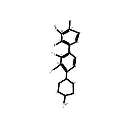 CCCC1CCC(c2ccc(-c3ccc(C)c(F)c3F)c(F)c2F)CC1